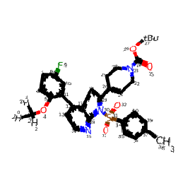 [2H]C([2H])([2H])Oc1ccc(F)cc1-c1ccnc2c1cc(C1=CCN(C(=O)OC(C)(C)C)CC1)n2S(=O)(=O)c1ccc(C)cc1